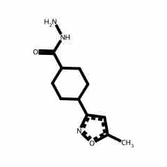 Cc1cc(C2CCC(C(=O)NN)CC2)no1